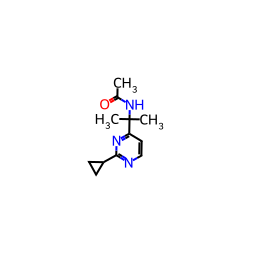 CC(=O)NC(C)(C)c1ccnc(C2CC2)n1